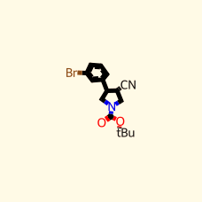 CC(C)(C)OC(=O)N1CC(C#N)C(c2cccc(Br)c2)C1